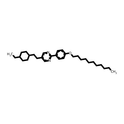 CCCCCCCCCCCOc1ccc(-c2ncc(CCC3CCC(CC)CC3)cn2)cc1